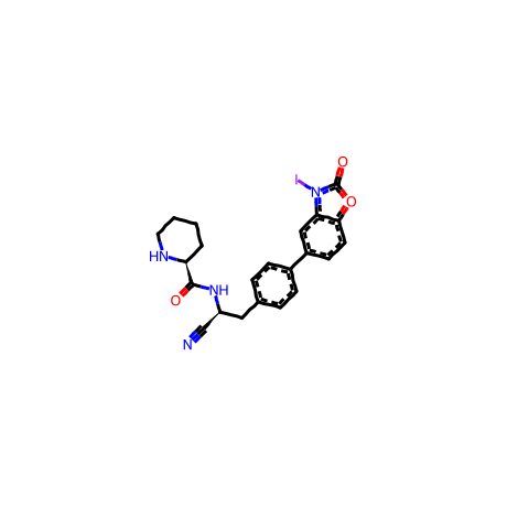 N#C[C@H](Cc1ccc(-c2ccc3oc(=O)n(I)c3c2)cc1)NC(=O)[C@@H]1CCCCN1